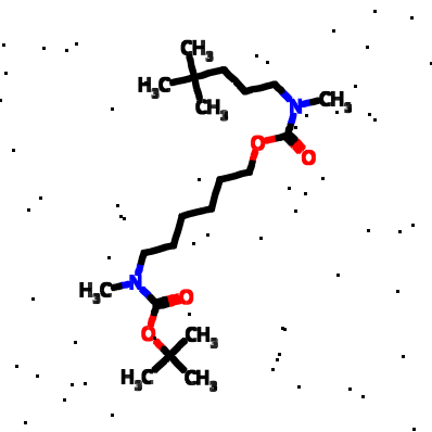 CN(CCCC(C)(C)C)C(=O)OCCCCCCN(C)C(=O)OC(C)(C)C